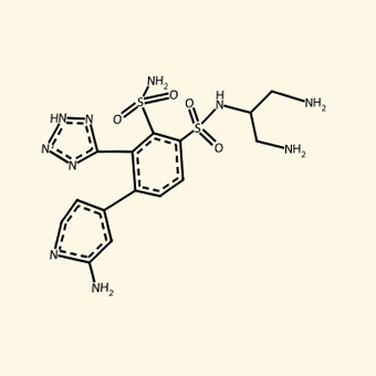 NCC(CN)NS(=O)(=O)c1ccc(-c2ccnc(N)c2)c(-c2nn[nH]n2)c1S(N)(=O)=O